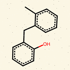 Cc1ccccc1Cc1ccccc1O